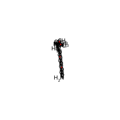 Cc1sc2c(c1C)C(c1ccc(Cl)cc1)=NC(CC(=O)Nc1ccc(OCCOCCOCCOCCOCCOCCOCCOCCOCCN)cc1)c1nnc(C)n1-2